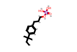 CCC(C)(C)c1ccc(CCCOP(=O)(O)O)cc1